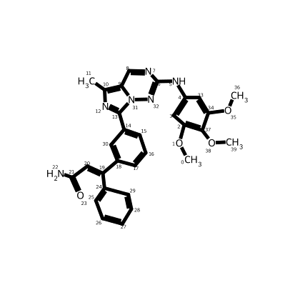 COc1cc(Nc2ncc3c(C)nc(-c4cccc(C(=CC(N)=O)c5ccccc5)c4)n3n2)cc(OC)c1OC